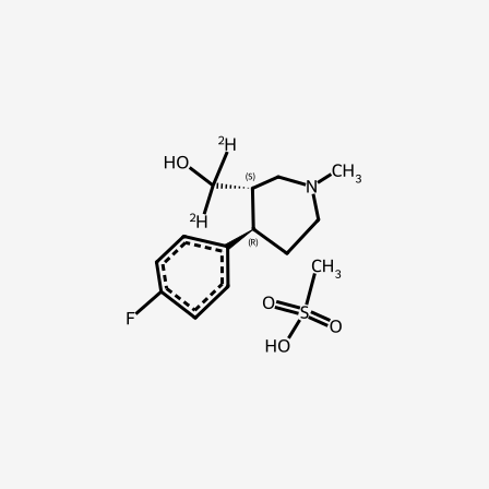 CS(=O)(=O)O.[2H]C([2H])(O)[C@@H]1CN(C)CC[C@H]1c1ccc(F)cc1